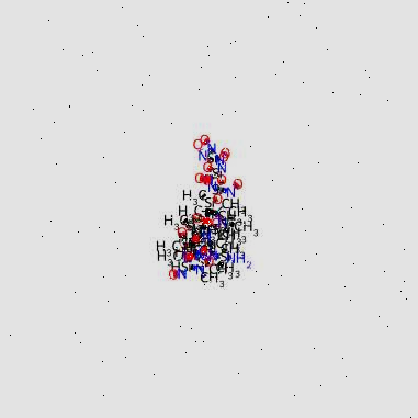 CO[Si](C)(C)O[Si](C)(C)O[Si](C)(OC)[C@](C)([C@H](C)N([Si](C)(C)C)[Si](C)(C)N(C)[Si](C)(C)N([Si](C)(C)N)[Si](C)(N=O)N(C)[SiH](N=O)N(C)[SiH](C)N=O)[SiH](C)O[Si](N=O)(N=O)O[Si](N=O)(N=O)O[Si](N=O)(N=O)N=O